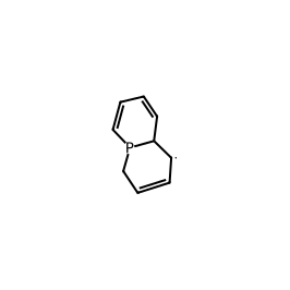 [CH]1C=CCP2C=CC=CC12